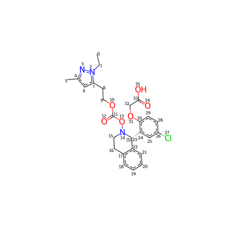 CCn1nc(C)cc1CCOC(=O)ON1CCc2ccccc2[C@H]1c1cc(Cl)ccc1OCC(=O)O